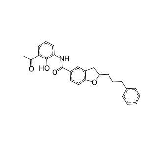 CC(=O)c1cccc(NC(=O)c2ccc3c(c2)CC(CCCc2ccccc2)O3)c1O